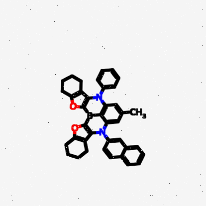 Cc1cc2c3c(c1)N(c1ccc4ccccc4c1)c1c(oc4c1CCCC4)B3c1oc3c(c1N2c1ccccc1)CCCC3